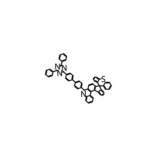 c1ccc(-c2nc(-c3ccccc3)nc(-c3ccc(-c4ccc(-c5nc6ccccc6c6c7c(ccc56)C5(c6ccccc6Sc6ccccc65)c5ccccc5-7)cc4)cc3)n2)cc1